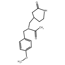 COc1ccc(CN(CC2CCNC(=O)C2)C(C)=O)cc1